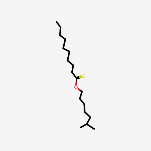 CCCCCCCCCC(=S)OCCCCCC(C)C